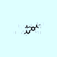 CCOC(=O)c1cn2c(cc1=O)-c1cc(OC)c(-c3cnc(Cl)nc3)cc1CC2C(C)(C)C